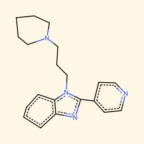 c1ccc2c(c1)nc(-c1ccncc1)n2CCCN1CCCCC1